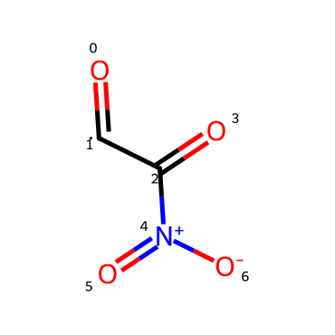 O=[C]C(=O)[N+](=O)[O-]